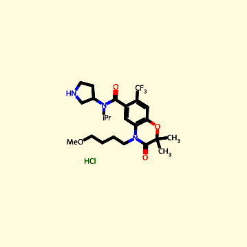 COCCCCN1C(=O)C(C)(C)Oc2cc(C(F)(F)F)c(C(=O)N(C(C)C)C3CCNC3)cc21.Cl